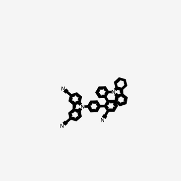 N#Cc1ccc2c(c1)c1cc(C#N)ccc1n2-c1ccc(-c2c(C#N)cccc2-c2ccccc2-n2c3c(c4ccccc42)CCC=C3)cc1